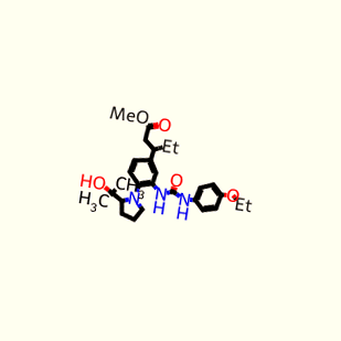 CCOc1ccc(NC(=O)Nc2cc(C(CC)CC(=O)OC)ccc2N2CCCC2C(C)(C)O)cc1